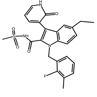 CCc1ccc2c(c1)c(-c1ccc[nH]c1=O)c(C(=O)NS(C)(=O)=O)n2Cc1cccc(C)c1F